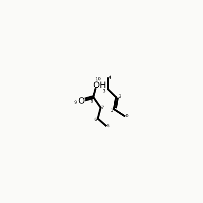 CC=CCC.CCCC(=O)O